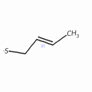 C/C=C/C[S]